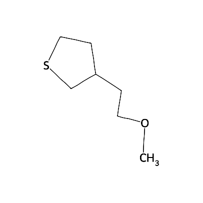 COCCC1CCSC1